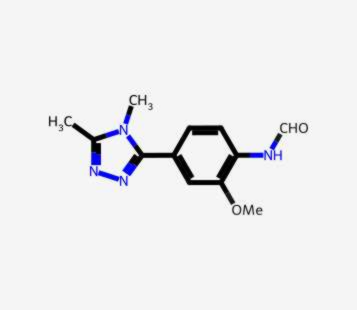 COc1cc(-c2nnc(C)n2C)ccc1NC=O